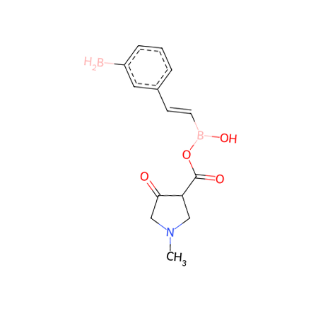 Bc1cccc(/C=C/B(O)OC(=O)C2CN(C)CC2=O)c1